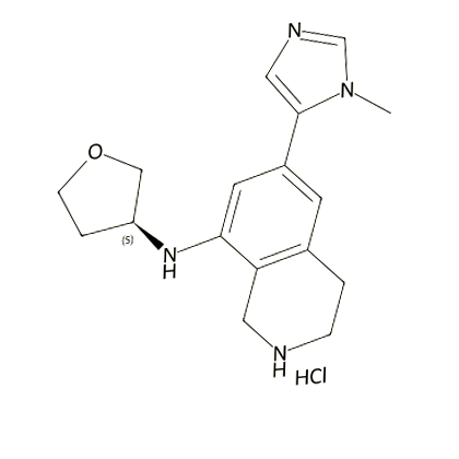 Cl.Cn1cncc1-c1cc2c(c(N[C@H]3CCOC3)c1)CNCC2